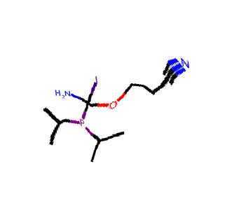 CC(C)P(C(C)C)C(N)(I)OCCC#N